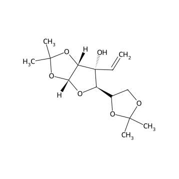 C=C[C@@]1(O)[C@@H](C2COC(C)(C)O2)O[C@@H]2OC(C)(C)O[C@@H]21